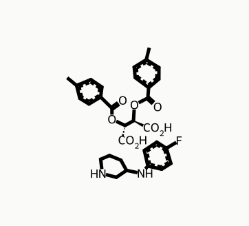 Cc1ccc(C(=O)O[C@@H](C(=O)O)[C@@H](OC(=O)c2ccc(C)cc2)C(=O)O)cc1.Fc1ccc(NC2CCCNC2)cc1